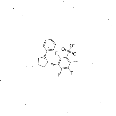 O=S(=O)([O-])c1c(F)c(F)c(F)c(F)c1F.c1ccc([S+]2CCCC2)cc1